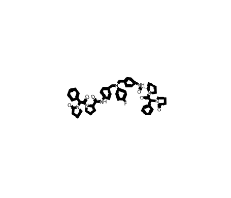 O=C(Nc1ccc(CN(Cc2ccc(NC(=O)[C@@H]3CCCN3C(=O)C(c3ccccc3)N3CCCC3=O)cc2)c2ccc(F)cc2)cc1)C1CCCN1C(=O)C(c1ccccc1)N1CCCC1=O